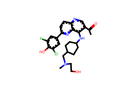 CC(=O)c1cnc2ccc(-c3cc(F)c(O)c(Cl)c3)nc2c1NC1CCC(CN(C)CCO)CC1